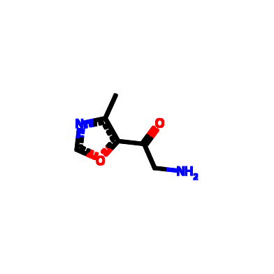 Cc1ncoc1C(=O)CN